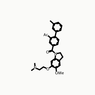 COc1cc2c(cc1OCCN(C)C)N(C(=O)c1ccc(-c3cccc(C)c3)c(C(C)=O)c1)CC2